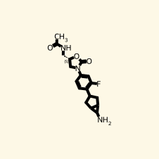 CC(=O)NC[C@H]1CN(c2ccc(C3CC4C(N)C4C3)c(F)c2)C(=O)O1